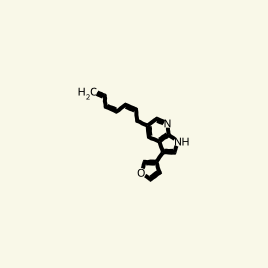 C=C/C=C\C=C/Cc1cnc2[nH]cc(-c3ccoc3)c2c1